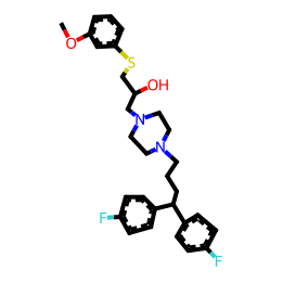 COc1cccc(SCC(O)CN2CCN(CCCC(c3ccc(F)cc3)c3ccc(F)cc3)CC2)c1